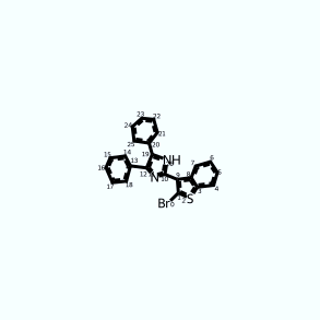 Brc1sc2ccccc2c1-c1nc(-c2ccccc2)c(-c2ccccc2)[nH]1